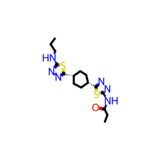 CCCNc1nnc([C@H]2CC[C@@H](c3nnc(NC(=O)CC)s3)CC2)s1